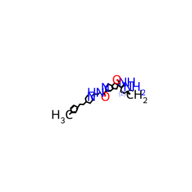 C=C/C=C\C1=C(N)NC(=O)C12Cc1cnc(C(=O)NCCN3CCC(CCc4ccc(C)cc4)CC3)cc1C2